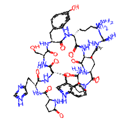 CC(C)C[C@H](NC(=O)[C@@H](CCCCN)NC(=O)[C@H](Cc1ccc(O)cc1)NC(=O)[C@H](CO)NC(=O)[C@H](Cc1c[nH]c2ccccc12)NC(=O)[C@H](Cc1c[nH]cn1)NC(=O)[C@@H]1CCC(=O)N1)C(=O)N[C@@H](CCCNC(=N)N)C(=O)N1CCC[C@H]1C(N)=O